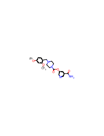 CC(C)Oc1ccc(CN2CCN(C(=O)Oc3cncc(C(N)=O)c3)CC2)c(OC(F)(F)F)c1